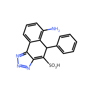 Nc1cccc2c1C(c1ccccc1)C(S(=O)(=O)O)=C1N=NN=C12